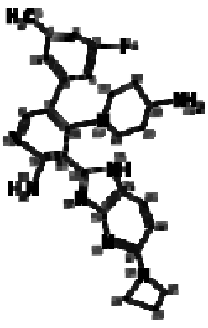 Cc1cc(F)cc(-c2cnc(N)c(-c3nc4nc(N5CCC5)ccc4[nH]3)c2N2CCC(N)CC2)c1